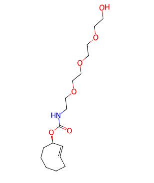 O=C(NCCOCCOCCOCCO)O[C@H]1/C=C/CCCCC1